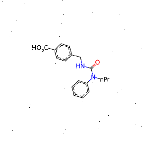 CCCN(C(=O)NCc1ccc(C(=O)O)cc1)c1ccccc1